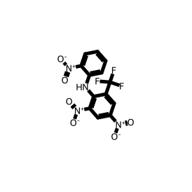 O=[N+]([O-])c1cc([N+](=O)[O-])c(Nc2ccccc2[N+](=O)[O-])c(C(F)(F)F)c1